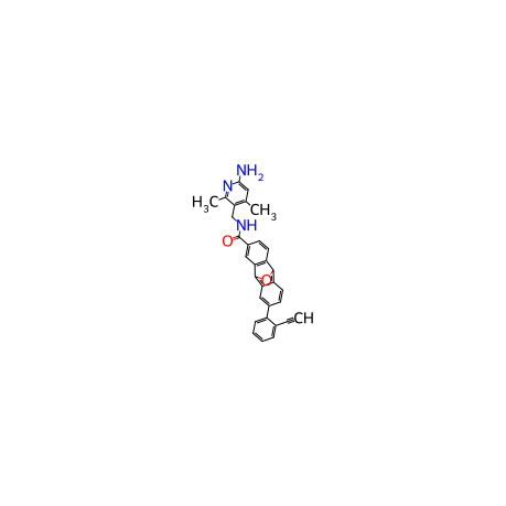 C#Cc1ccccc1-c1ccc2c(c1)c1oc2c2ccc(C(=O)NCc3c(C)cc(N)nc3C)cc21